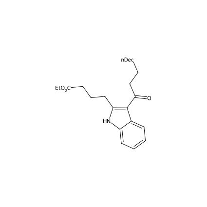 CCCCCCCCCCCCC(=O)c1c(CCCC(=O)OCC)[nH]c2ccccc12